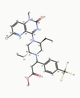 CC[C@H]1CN(C(CC(=O)OC)c2ccc(C(F)(F)F)cc2)[C@H](CC)CN1c1nc(=O)n(C)c2ccc(Cl)nc12